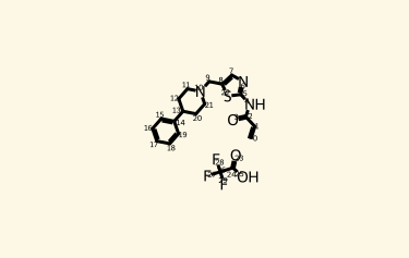 C=CC(=O)Nc1ncc(CN2CCC(c3ccccc3)CC2)s1.O=C(O)C(F)(F)F